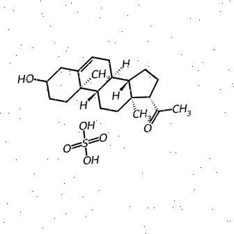 CC(=O)[C@H]1CC[C@H]2[C@@H]3CC=C4CC(O)CC[C@]4(C)[C@H]3CC[C@]12C.O=S(=O)(O)O